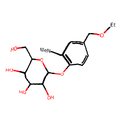 CCOCc1ccc(OC2OC(CO)C(O)C(O)C2O)c(NC)c1